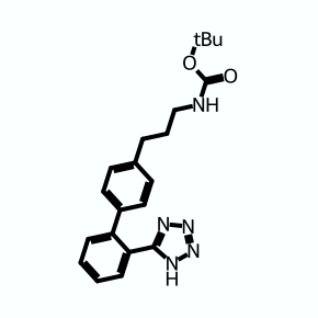 CC(C)(C)OC(=O)NCCCc1ccc(-c2ccccc2-c2nnn[nH]2)cc1